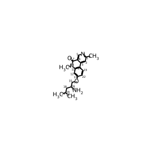 Cc1cc2c(cn1)c(=O)n(C)c1cc(OCC(N)CC(C)C)ccc21